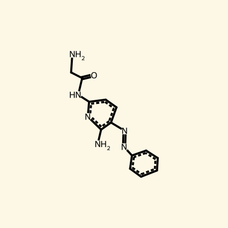 NCC(=O)Nc1ccc(N=Nc2ccccc2)c(N)n1